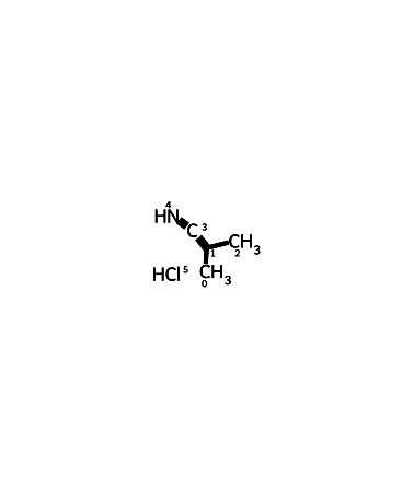 CC(C)=C=N.Cl